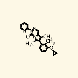 Cc1c(OC2CC2)cccc1-c1c(C)c2cnn(-c3ccccn3)c(=O)n2c1C